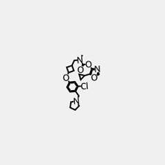 CN(CC1CC(Oc2ccc(CN3CCCC3)c(Cl)c2)C1)C(=O)Oc1ncoc1C1CC1